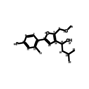 COCc1oc(-c2ccc(F)cc2C)cc1C(O)CC(C)C